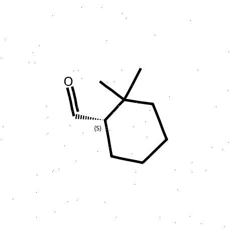 CC1(C)CCCC[C@@H]1C=O